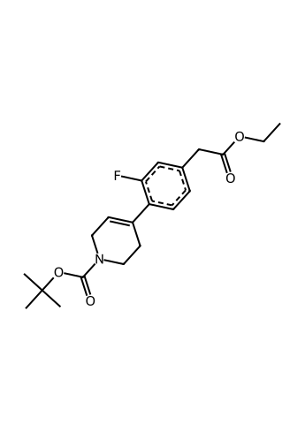 CCOC(=O)Cc1ccc(C2=CCN(C(=O)OC(C)(C)C)CC2)c(F)c1